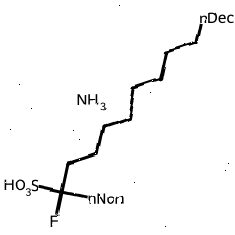 CCCCCCCCCCCCCCCCCCC(F)(CCCCCCCCC)S(=O)(=O)O.N